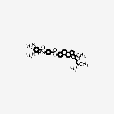 CC(C)CCCC(C)C1CCC2C3CCc4cc(OC(=O)c5ccc(NC(=O)c6cc(N)cc(N)c6)cc5)ccc4C3CCC12C